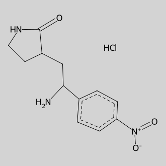 Cl.NC(CC1CCNC1=O)c1ccc([N+](=O)[O-])cc1